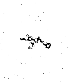 CC=CC[C@@H]1C[C@@H]([C@H](CC(C)(C)CCOCc2ccccc2)NC(=O)OC(C)(C)C)OC1=O